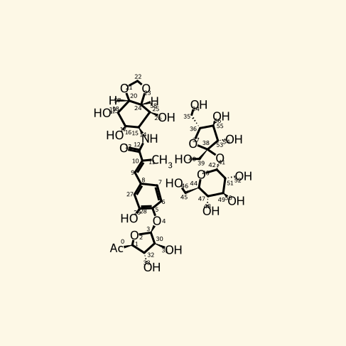 CC(=O)[C@H]1O[C@@H](Oc2ccc(/C=C(\C)C(=O)N[C@H]3[C@@H](O)[C@H](O)[C@@H]4OCO[C@@H]4[C@H]3O)cc2O)[C@@H](O)[C@@H]1O.OC[C@H]1O[C@@](CO)(O[C@H]2O[C@H](CO)[C@@H](O)[C@H](O)[C@H]2O)[C@@H](O)[C@@H]1O